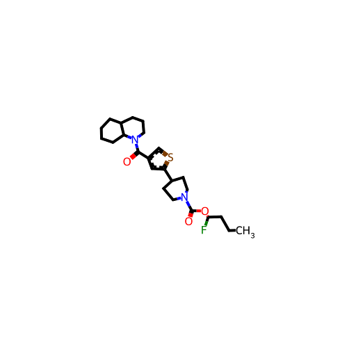 CCCC(F)OC(=O)N1CCC(c2cc(C(=O)N3CCCC4CCCCC43)cs2)CC1